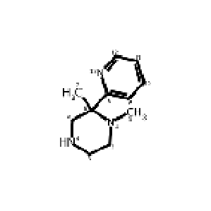 CN1CCNCC1(C)c1ccccn1